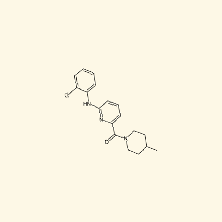 CC1CCN(C(=O)c2cccc(Nc3ccccc3Cl)n2)CC1